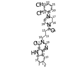 Cc1ccc2[nH]c3c(=O)n(CCCC(=O)N4CCN(c5cccc(Cl)c5Cl)CC4)cnc3c2c1